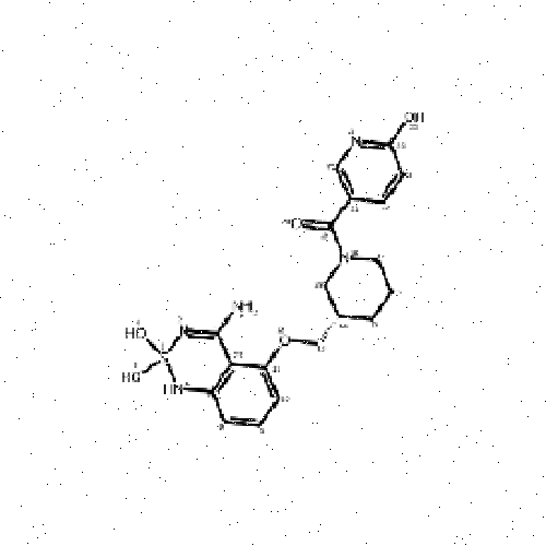 NC1=NS(O)(O)Nc2cccc(OC[C@H]3CCCN(C(=O)c4ccc(O)nc4)C3)c21